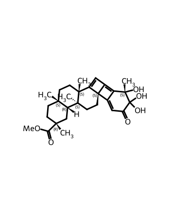 COC(=O)[C@]1(C)CC[C@]2(C)CC[C@]3(C)C4=CC5=C6C(=CC(=O)C(O)(O)[C@@]6(C)O)[C@]45CC[C@@]3(C)[C@@H]2C1